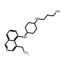 CCc1cncc2cccc(NC3CCC(NCCCO)CC3)c12